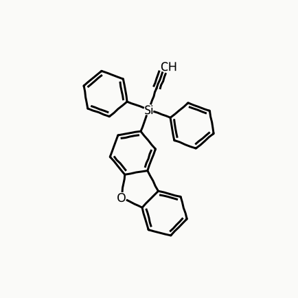 C#C[Si](c1ccccc1)(c1ccccc1)c1ccc2oc3ccccc3c2c1